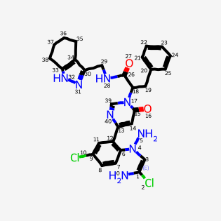 N/C(Cl)=C\N(N)c1ccc(Cl)cc1-c1cc(=O)n(C(Cc2ccccc2)C(=O)NCc2n[nH]c3c2CCCC3)cn1